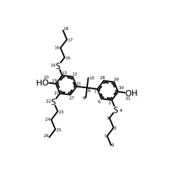 CCCCSc1cc(C(C)(C)c2cc(SCCCC)c(O)c(SCCCC)c2)ccc1O